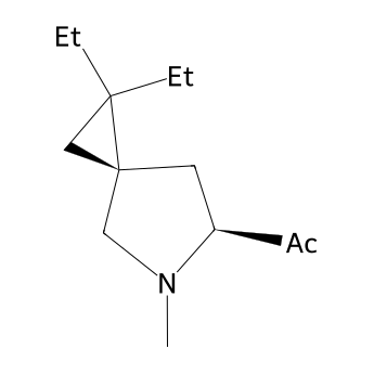 CCC1(CC)C[C@]12C[C@@H](C(C)=O)N(C)C2